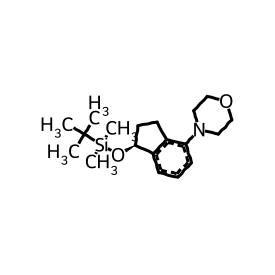 CC(C)(C)[Si](C)(C)O[C@H]1CCc2c1cccc2N1CCOCC1